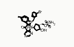 Cc1ccc2c(c1)c(C(=O)c1cncnc1N[C@@H]1C[C@H](COS(N)(=O)=O)[C@@H](O)C1)cn2Cc1cccc(Br)c1